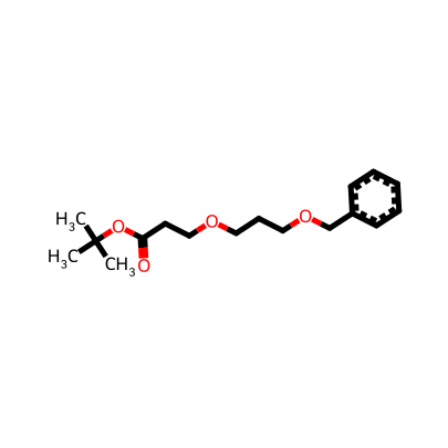 CC(C)(C)OC(=O)CCOCCCOCc1ccccc1